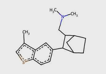 Cc1csc2ccc(C3C4CCC(C4)C3CN(C)C)cc12